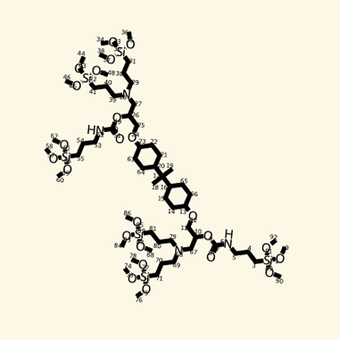 CO[Si](CCCNC(=O)OC(COC1CCC(C(C)(C)C2CCC(OCC(CN(CCC[Si](OC)(OC)OC)CCC[Si](OC)(OC)OC)OC(=O)NCCC[Si](OC)(OC)OC)CC2)CC1)CN(CCC[Si](OC)(OC)OC)CCC[Si](OC)(OC)OC)(OC)OC